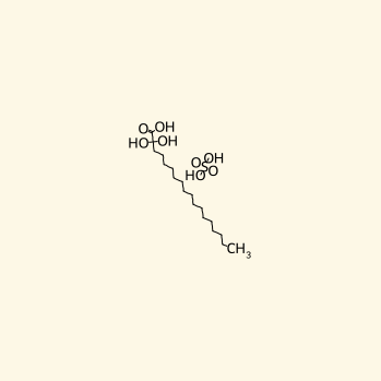 CCCCCCCCCCCCCCCCC(O)(O)C(=O)O.O=S(=O)(O)O